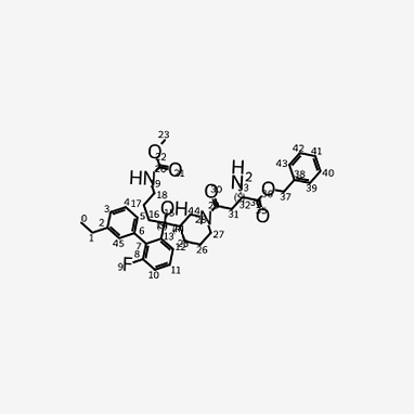 CCc1cccc(-c2c(F)cccc2[C@](O)(CCCNC(=O)OC)[C@@H]2CCCN(C(=O)C[C@H](N)C(=O)OCc3ccccc3)C2)c1